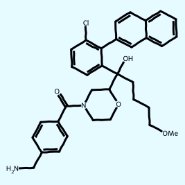 COCCCCC(O)(c1cccc(Cl)c1-c1ccc2ccccc2c1)C1CN(C(=O)c2ccc(CN)cc2)CCO1